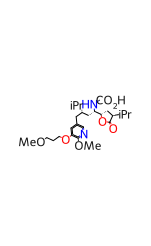 COCCCOc1cc(C[C@@H](C[C@H](NC(=O)O)[C@@H]2C[C@@H](C(C)C)C(=O)O2)C(C)C)cnc1OC